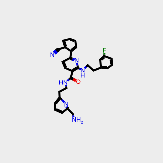 N#Cc1ccccc1-c1ccc(C(=O)NCCc2cccc(CN)n2)c(NCCc2cccc(F)c2)n1